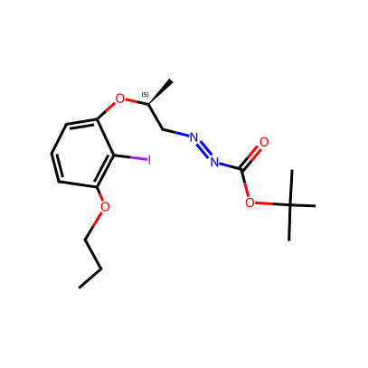 CCCOc1cccc(O[C@@H](C)CN=NC(=O)OC(C)(C)C)c1I